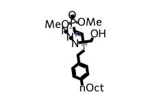 CCCCCCCCc1ccc(CC[C@](/C=C/P(=O)(OC)OC)(CO)N=[N+]=[N-])cc1